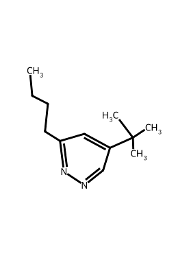 CCCCc1cc(C(C)(C)C)cnn1